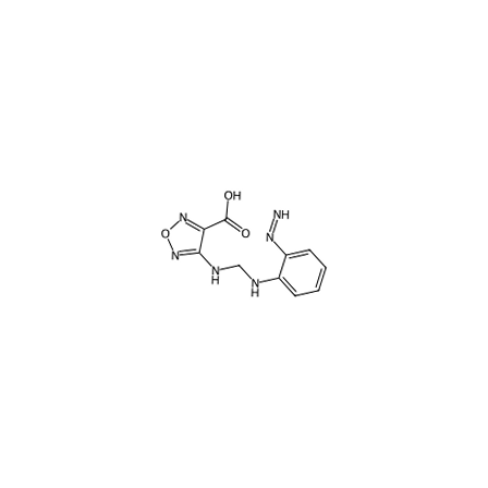 N=Nc1ccccc1NCNc1nonc1C(=O)O